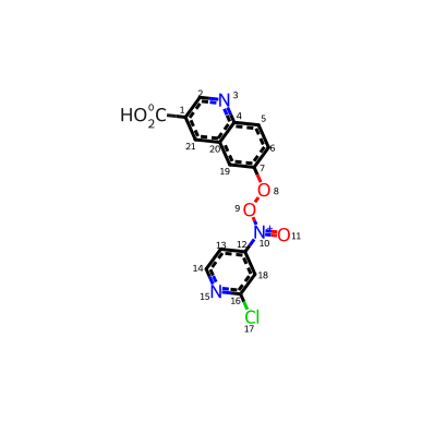 O=C(O)c1cnc2ccc(OO[N+](=O)c3ccnc(Cl)c3)cc2c1